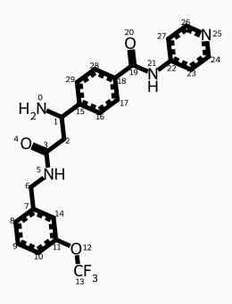 NC(CC(=O)NCc1cccc(OC(F)(F)F)c1)c1ccc(C(=O)Nc2ccncc2)cc1